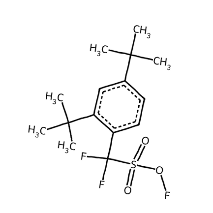 CC(C)(C)c1ccc(C(F)(F)S(=O)(=O)OF)c(C(C)(C)C)c1